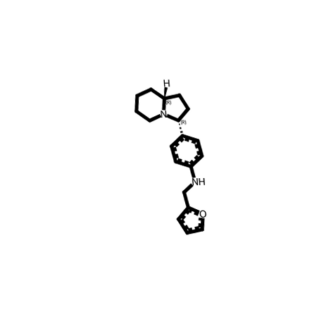 c1coc(CNc2ccc([C@H]3CC[C@H]4CCCCN43)cc2)c1